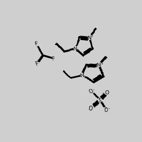 CCn1cc[n+](C)c1.CCn1cc[n+](C)c1.FC(F)F.O=S(=O)([O-])[O-]